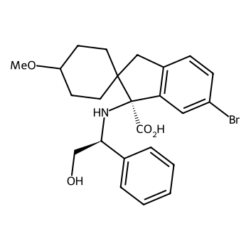 COC1CCC2(CC1)Cc1ccc(Br)cc1[C@]2(N[C@H](CO)c1ccccc1)C(=O)O